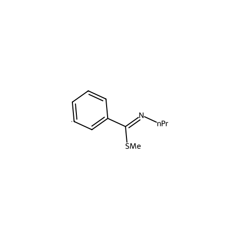 CCCN=C(SC)c1c[c]ccc1